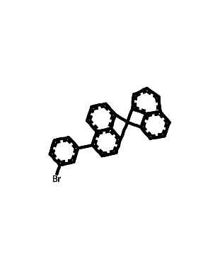 Brc1cccc(-c2ccc3c4c(cccc24)C32c3cccc4cccc2c34)c1